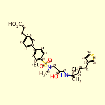 CCc1cc(-c2ccc(CCC(=O)O)cc2)ccc1S(=O)(=O)N(C)CC(O)CNC(C)(C)CCCc1ccsc1